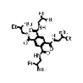 CCCCC(CC)CNC(=O)c1cc(C(=O)NCC(CC)CCCC)c(C(=O)NCC(CC)CCCC)cc1C(=O)NCC(CC)CCCC